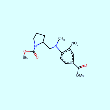 COC(=O)c1ccc(N(C)CC2CCCN2C(=O)OC(C)(C)C)c([N+](=O)[O-])c1